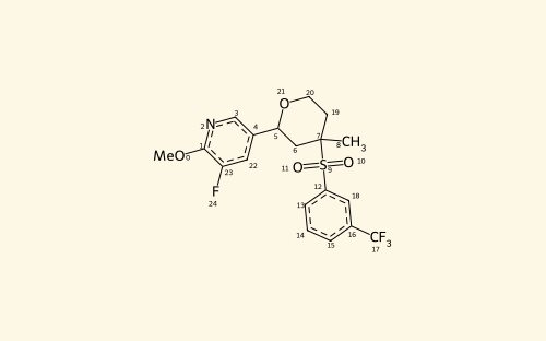 COc1ncc(C2CC(C)(S(=O)(=O)c3cccc(C(F)(F)F)c3)CCO2)cc1F